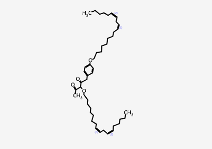 CCCCC/C=C\C/C=C\CCCCCCCCOc1ccc(CC(=O)C(OCCCCCCCC/C=C\C/C=C\CCCCC)C(C)=O)cc1